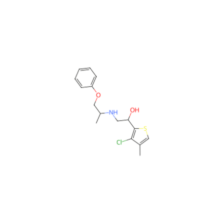 Cc1csc(C(O)CNC(C)COc2ccccc2)c1Cl